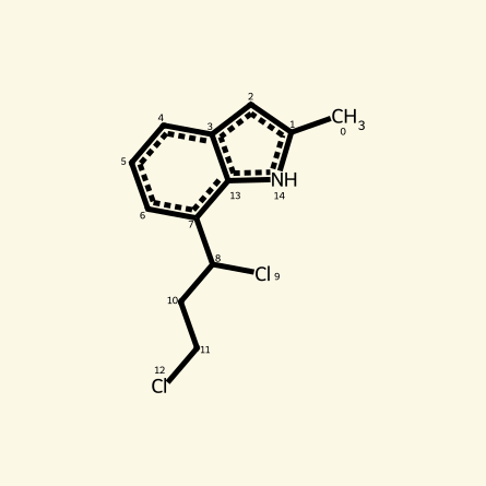 Cc1cc2cccc(C(Cl)CCCl)c2[nH]1